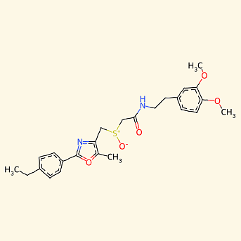 CCc1ccc(-c2nc(C[S+]([O-])CC(=O)NCCc3ccc(OC)c(OC)c3)c(C)o2)cc1